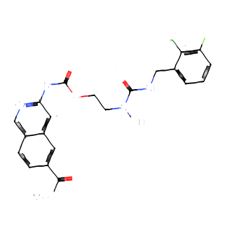 COC(=O)c1ccc2cnc(NC(=O)OCCN(C)C(=O)NCc3cccc(F)c3Cl)cc2c1